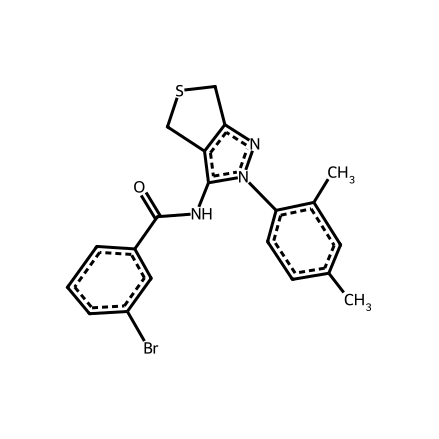 Cc1ccc(-n2nc3c(c2NC(=O)c2cccc(Br)c2)CSC3)c(C)c1